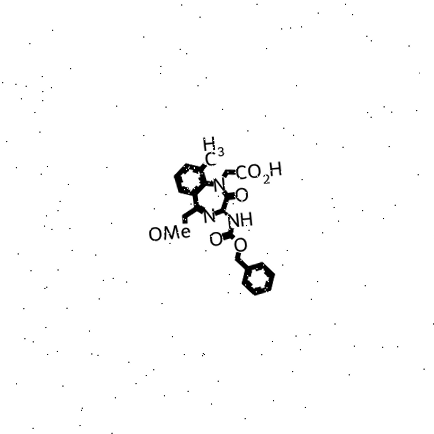 COCC1=N[C@H](NC(=O)OCc2ccccc2)C(=O)N(CC(=O)O)c2c(C)cccc21